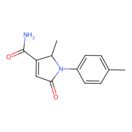 Cc1ccc(N2C(=O)C=C(C(N)=O)C2C)cc1